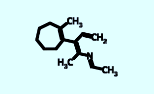 C=C/C(C1=C(C)CCCCC1)=C(C)\N=C\C